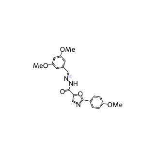 COc1ccc(-c2ncc(C(=O)N/N=C/c3cc(OC)cc(OC)c3)o2)cc1